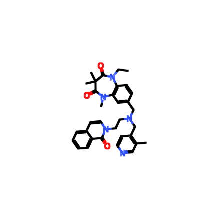 CCN1C(=O)C(C)(C)C(=O)N(C)c2cc(CN(CCn3ccc4ccccc4c3=O)Cc3ccncc3C)ccc21